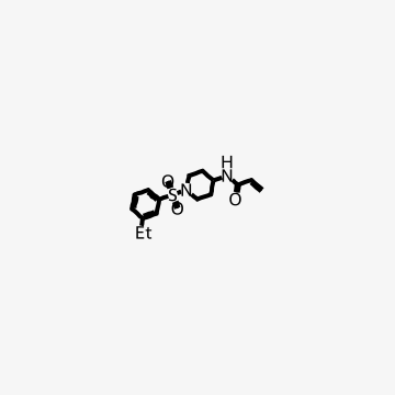 C=CC(=O)NC1CCN(S(=O)(=O)c2cccc(CC)c2)CC1